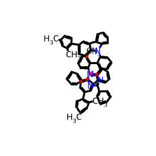 Cc1ccc(-c2ccc3c(c2)c2ccccc2n3-c2cccc(C#N)c2-c2c(-c3nc(-c4ccccc4)nc(-c4ccccc4)n3)cccc2-n2c3ccccc3c3cc(-c4ccc(C)cc4C)ccc32)c(C)c1